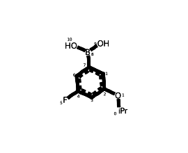 CC(C)Oc1cc(F)cc(B(O)O)c1